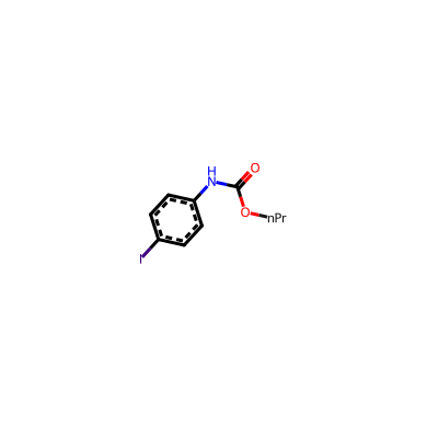 CCCOC(=O)Nc1ccc(I)cc1